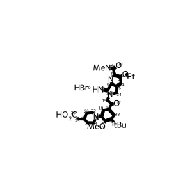 Br.CCOc1cc2c(nc1C(=O)NC)C(=N)N(CC(=O)c1cc(N3CCC(CC(=O)O)CC3)c(OC)c(C(C)(C)C)c1)C2